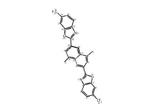 Cc1cc(-c2nc3ccc(C(F)(F)F)cc3o2)cc2c(C)cc(-c3nc4ccc(C(F)(F)F)cc4o3)cc12